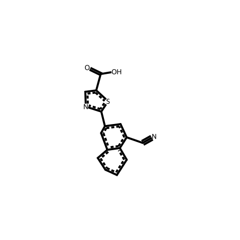 N#Cc1cc(-c2ncc(C(=O)O)s2)cc2ccccc12